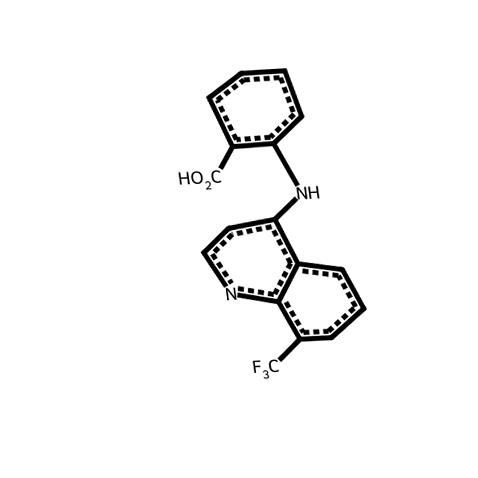 O=C(O)c1ccccc1Nc1ccnc2c(C(F)(F)F)cccc12